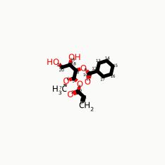 C=CC(=O)OC(OC)C(OC(=O)C1CCCCC1)C(O)CO